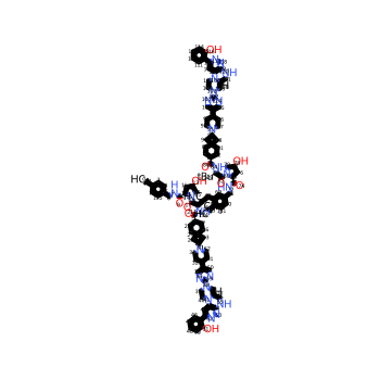 C#Cc1ccc(CNC(=O)[C@@H]2C[C@@H](O)CN2C(=O)[C@@H](NC(=O)[C@H]2CCC3(CC2)C[C@H](N2CCC(c4cnc(N5CCN6c7cc(-c8ccccc8O)nnc7NC[C@H]6C5)nc4)CC2)C3)C(C)(C)Cc2cc(CNC(=O)[C@@H]3C[C@@H](O)CN3C(=O)[C@@H](NC(=O)[C@H]3CCC4(CC3)C[C@H](N3CCC(c5cnc(N6CCN7c8cc(-c9ccccc9O)nnc8NC[C@H]7C6)nc5)CC3)C4)C(C)(C)C)ccc2C#C)cc1